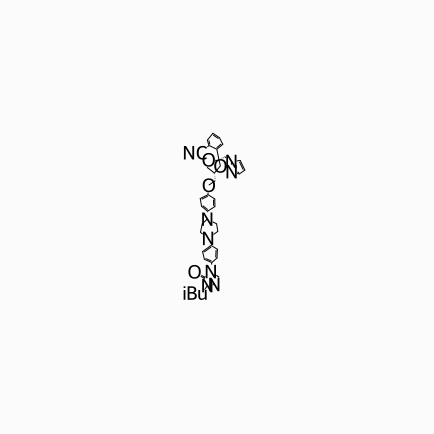 CCC(C)n1ncn(-c2ccc(N3CCN(c4ccc(OC[C@@H]5CO[C@@](Cn6cccn6)(c6ccccc6C#N)O5)cc4)CC3)cc2)c1=O